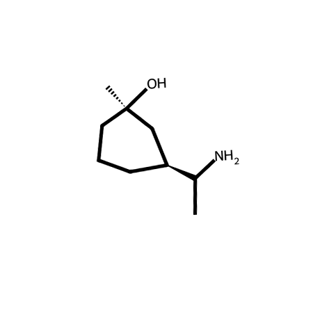 CC(N)[C@H]1CCC[C@@](C)(O)C1